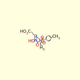 Cc1ccc(S(=O)(=O)[N+](C)(CCCCCC(=O)O)C(=O)NO)cc1